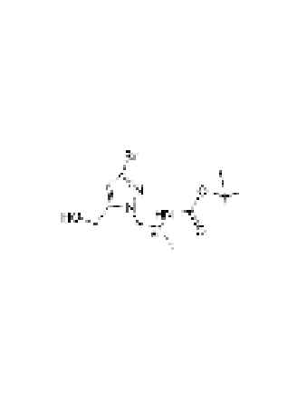 C[C@H](Cn1nc(Br)cc1CO)NC(=O)OC(C)(C)C